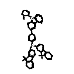 CC1CCC=CC1n1c2c(c3ccccc31)C=C(C1C=CC(N(Cc3ccc4c(c3)C(C)(C)C3=C4C=CCC3)C3=CC=C4C5=C(C=CCC5)C(C)(C)C4C3)=CC1)CC2